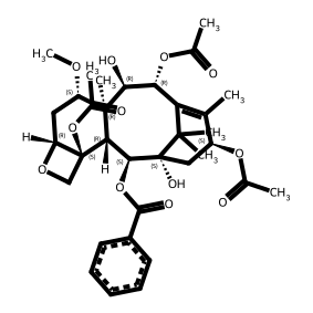 CO[C@H]1C[C@H]2OC[C@@]2(OC(C)=O)[C@H]2[C@H](OC(=O)c3ccccc3)[C@]3(O)C[C@H](OC(C)=O)C(C)=C([C@@H](OC(C)=O)[C@H](O)[C@]12C)C3(C)C